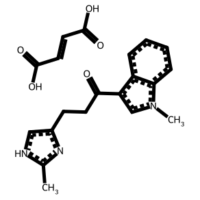 Cc1nc(CCC(=O)c2cn(C)c3ccccc23)c[nH]1.O=C(O)C=CC(=O)O